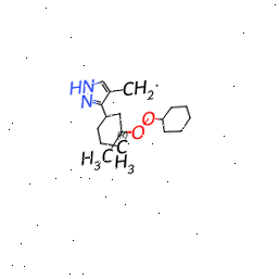 [CH2]c1c[nH]nc1C1CCC(C)(C)[C@H](OOC2CCCCC2)C1